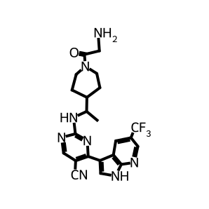 CC(Nc1ncc(C#N)c(-c2c[nH]c3ncc(C(F)(F)F)cc23)n1)C1CCN(C(=O)CN)CC1